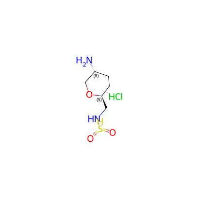 Cl.N[C@@H]1CC[C@@H](CN[SH](=O)=O)OC1